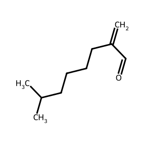 C=C(C=O)CCCCC(C)C